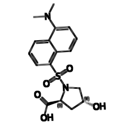 CN(C)c1cccc2c(S(=O)(=O)N3C[C@H](O)C[C@H]3C(=O)O)cccc12